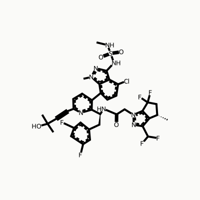 CNS(=O)(=O)Nc1nn(C)c2c(-c3ccc(C#CC(C)(C)O)nc3[C@H](Cc3cc(F)cc(F)c3)NC(=O)Cn3nc(C(F)F)c4c3C(F)(F)C[C@@H]4C)ccc(Cl)c12